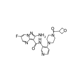 Nc1nn2cc(F)cnc2c1C(=O)Nc1cnccc1N1CCN(C(=O)C2COC2)CC1